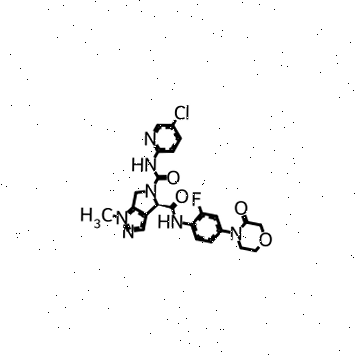 Cn1ncc2c1CN(C(=O)Nc1ccc(Cl)cn1)[C@H]2C(=O)Nc1ccc(N2CCOCC2=O)cc1F